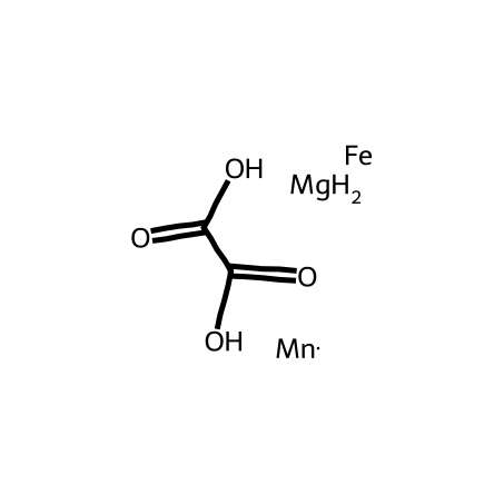 O=C(O)C(=O)O.[Fe].[MgH2].[Mn]